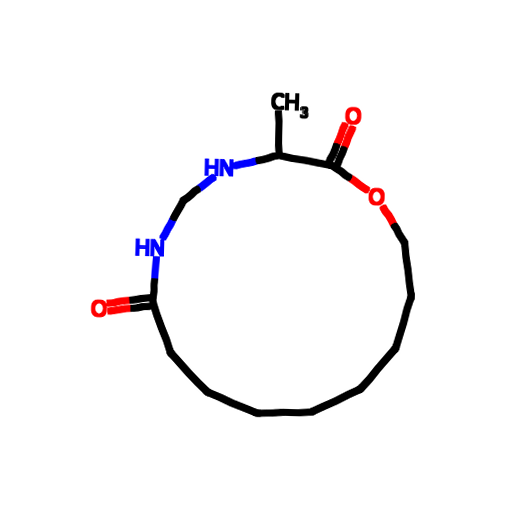 CC1NCNC(=O)CCCCCCCCOC1=O